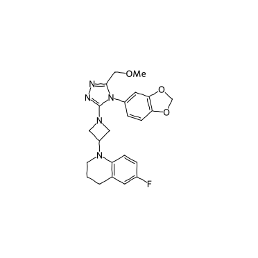 COCc1nnc(N2CC(N3CCCc4cc(F)ccc43)C2)n1-c1ccc2c(c1)OCO2